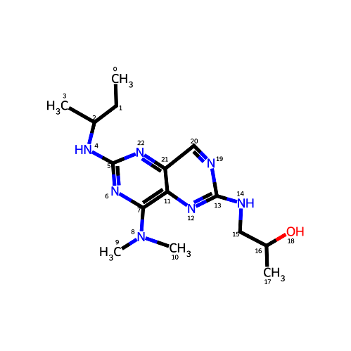 CCC(C)Nc1nc(N(C)C)c2nc(NCC(C)O)ncc2n1